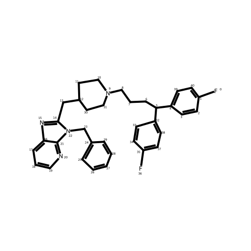 Fc1ccc(C(CCCN2CCC(Cc3nc4cccnc4n3Cc3ccccc3)CC2)c2ccc(F)cc2)cc1